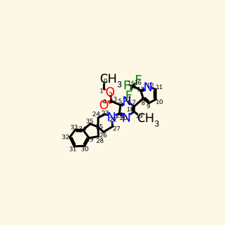 CCOC(=O)c1nc(-c2cccnc2C(F)(F)F)c(C)nc1N1CCC2(CC1)Cc1ccccc1C2